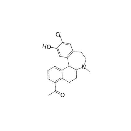 CC(=O)c1cccc2c1CCC1C2c2cc(O)c(Cl)cc2CCN1C